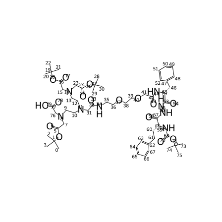 CC(C)(C)OC(=O)CN(CCN(CCN(CC(=O)OC(C)(C)C)CC(=O)OC(C)(C)C)CC(=O)NCCOCCOCC(=O)N[C@H](Cc1ccccc1)C(=O)NNC(=O)[C@@H](CCc1ccccc1)NC(=O)OC(C)(C)C)CC(=O)O